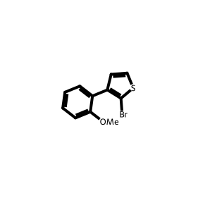 COc1ccccc1-c1ccsc1Br